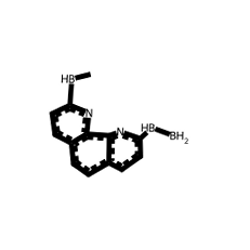 BBc1ccc2ccc3ccc(BC)nc3c2n1